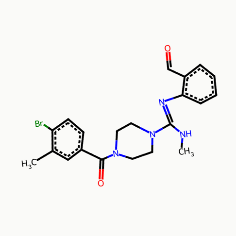 CN/C(=N\c1ccccc1C=O)N1CCN(C(=O)c2ccc(Br)c(C)c2)CC1